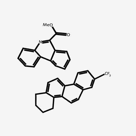 COC(=O)c1nc2ccccc2c2ccccc12.FC(F)(F)c1ccc2c(ccc3c4c(ccc32)CCCC4)c1